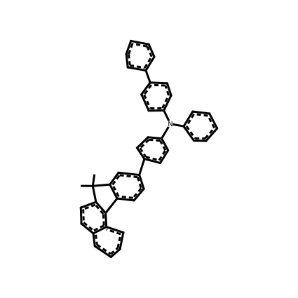 CC1(C)c2cc(-c3ccc(N(c4ccccc4)c4ccc(-c5ccccc5)cc4)cc3)ccc2-c2c1ccc1ccccc21